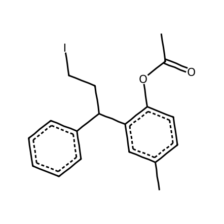 CC(=O)Oc1ccc(C)cc1C(CCI)c1ccccc1